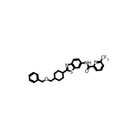 O=C(Nc1ccc2nc(C3CCC(COCc4ccccc4)CC3)sc2c1)c1cccc(C(F)(F)F)n1